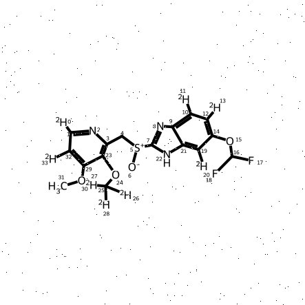 [2H]c1nc(C[S+]([O-])c2nc3c([2H])c([2H])c(OC(F)F)c([2H])c3[nH]2)c(OC([2H])([2H])[2H])c(OC)c1[2H]